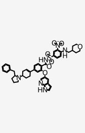 O=C(NS(=O)(=O)c1ccc(NCC2CCOCC2)c([N+](=O)[O-])c1)c1ccc(C2=CCC(N3CCCC3Cc3ccccc3)CC2)cc1Oc1cnc2[nH]ccc2c1